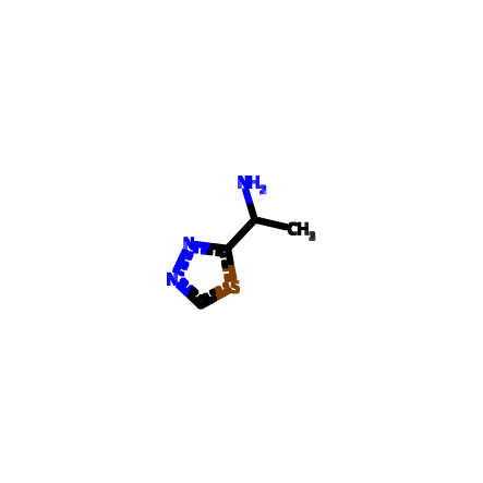 CC(N)c1nncs1